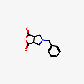 O=C1OC(=O)C2CN(Cc3ccccc3)CC12